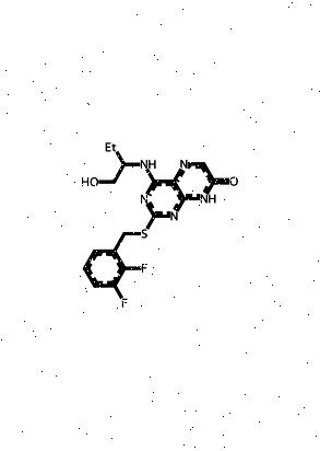 CCC(CO)Nc1nc(SCc2cccc(F)c2F)nc2[nH]c(=O)cnc12